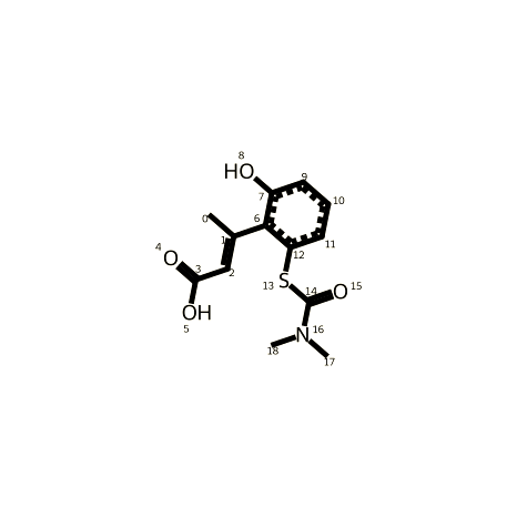 CC(=CC(=O)O)c1c(O)cccc1SC(=O)N(C)C